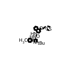 Cc1ccc(-n2nc(C(C)(C)C)cc2NC(=O)Nc2ccc(OCCN3CCSCC3)c3ccccc23)cc1